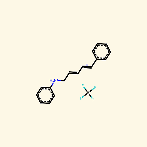 C(=CC[NH2+]c1ccccc1)/C=C/c1ccccc1.F[B-](F)(F)F